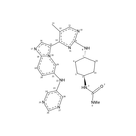 CNC(=O)N[C@H]1CC[C@H](Nc2ncc(C)c(-c3cnc4ccc(Nc5cncnc5)cn34)n2)CC1